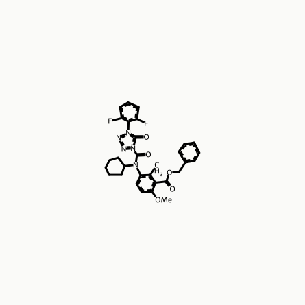 COc1ccc(N(C(=O)n2nnn(-c3c(F)cccc3F)c2=O)C2CCCCC2)c(C)c1C(=O)OCc1ccccc1